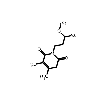 CCCOC(CC)CCN1C(=O)CC(C)=C(C#N)C1=O